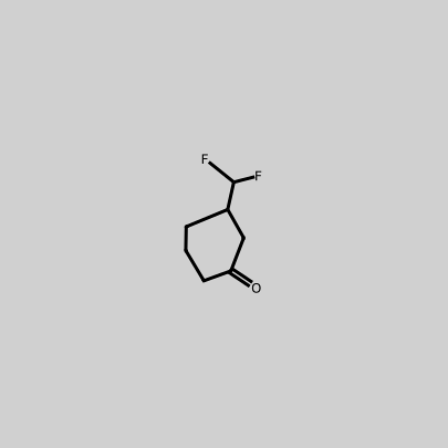 O=C1CCCC(C(F)F)C1